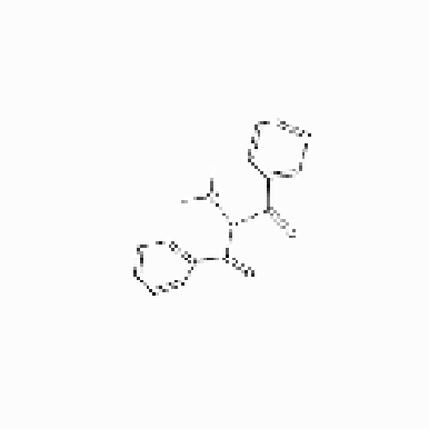 C[S+](C)C(C(=O)c1ccccc1)C(=O)c1ccccc1